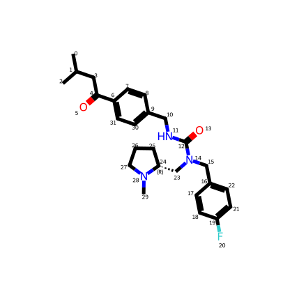 CC(C)CC(=O)c1ccc(CNC(=O)N(Cc2ccc(F)cc2)C[C@H]2CCCN2C)cc1